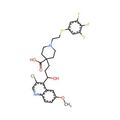 COc1ccc2ncc(Cl)c(C(O)CCC3(C(=O)O)CCN(CCSc4cc(F)c(F)c(F)c4)CC3)c2c1